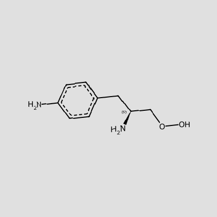 Nc1ccc(C[C@H](N)COO)cc1